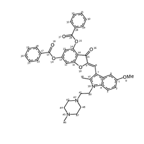 COc1ccc2c(c1)c(/C=C1\Oc3cc(OC(=O)c4ccccc4)cc(OC(=O)c4ccccc4)c3C1=O)c(C)n2CCN1CCN(C)CC1